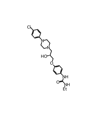 CCNC(=O)Nc1ccc(OC[C@@H](O)CN2CCN(c3ccc(Cl)cc3)CC2)cc1